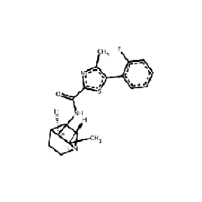 Cc1nc(C(=O)N[C@@H]2C3CCN(CC3)[C@H]2C)sc1-c1ccccc1F